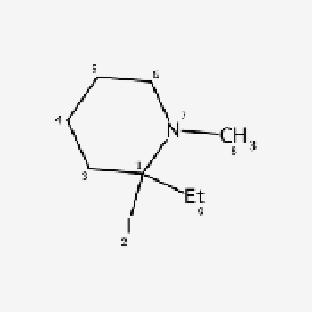 CCC1(I)CCCCN1C